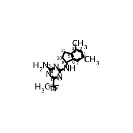 Cc1cc(C)c2c(c1)[C@@H](Nc1nc(N)nc([C@@H](C)F)n1)CC2